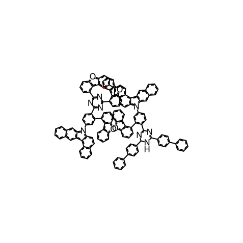 c1ccc(-c2ccc(C3=NC(c4ccc(-n5c6cc7ccccc7cc6c6c7ccc(-c8ccc9oc%10cccc(-c%11nc(-c%12ccc(-n%13c%14cc%15ccccc%15cc%14c%14c%15ccccc%15ccc%14%13)cc%12-c%12cccc%13oc%14ccccc%14c%12%13)nc(-c%12cccc%13oc%14ccccc%14c%12%13)n%11)c%10c9c8)cc7ccc65)cc4-c4cccc5oc6ccccc6c45)=NC(c4ccc(-c5ccccc5)cc4)N3)cc2)cc1